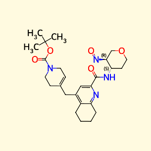 CC(C)(C)OC(=O)N1CC=C(Cc2cc(C(=O)N[C@H]3CCOC[C@@H]3N=O)nc3c2CCCC3)CC1